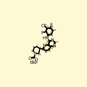 CC(C)(C)OC(=O)N1CCCC(c2ccc3ncnc(Nc4ccc(F)c(Cl)c4F)c3n2)C1